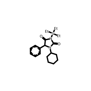 CC[Si](CC)(CC)N1C(=O)C(c2ccccc2)N(C2CCCCC2)C1=O